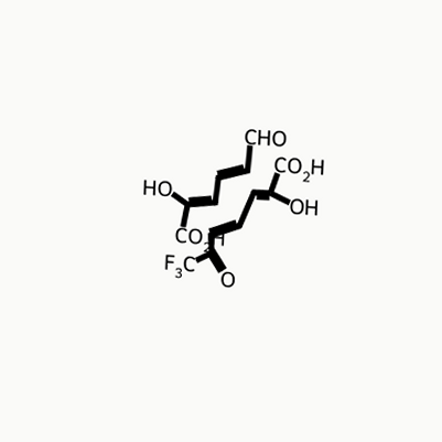 O=C(O)C(O)=CC=CC(=O)C(F)(F)F.O=CC=CC=C(O)C(=O)O